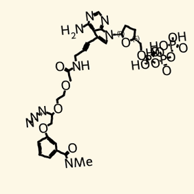 CNC(=O)c1cccc(OCC(N=[N+]=[N-])OCCOCC(=O)NCC#Cc2cn([C@H]3CC[C@@H](COP(=O)(O)OP(=O)(O)OP(=O)(O)O)O3)c3ncnc(N)c23)c1